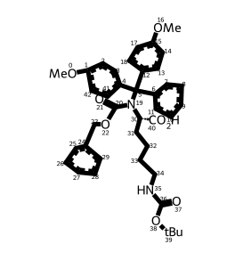 COc1ccc(C(c2ccccc2)(c2ccc(OC)cc2)N(C(=O)OCc2ccccc2)[C@@H](CCCCNC(=O)OC(C)(C)C)C(=O)O)cc1